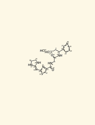 Cl.O=C(O)CC(NC(=O)CNC(=O)c1csc(N=C2NCCN2)n1)c1cccnc1